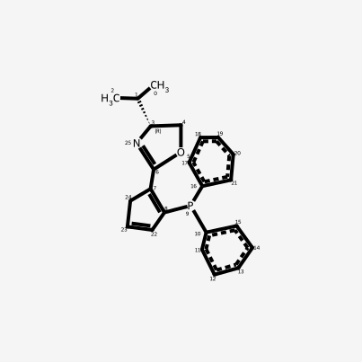 CC(C)[C@@H]1COC(C2=C(P(c3ccccc3)c3ccccc3)C=CC2)=N1